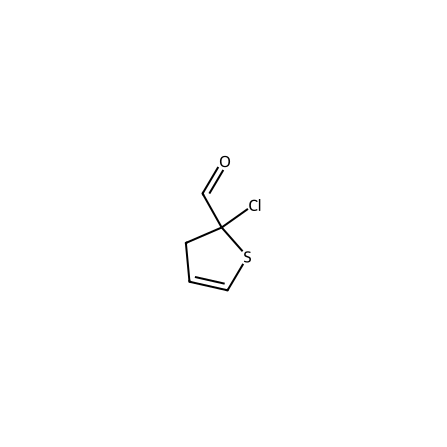 O=CC1(Cl)CC=CS1